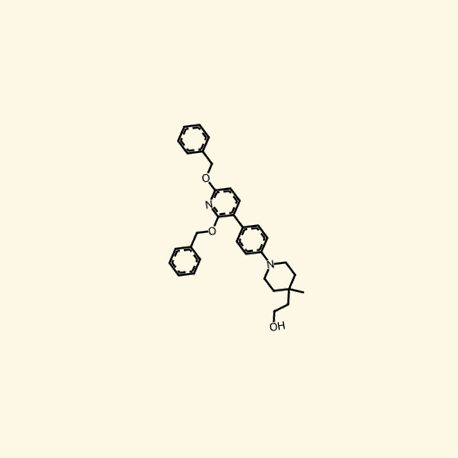 CC1(CCO)CCN(c2ccc(-c3ccc(OCc4ccccc4)nc3OCc3ccccc3)cc2)CC1